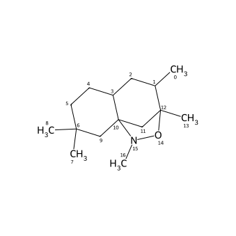 CC1CC2CCC(C)(C)CC23CC1(C)ON3C